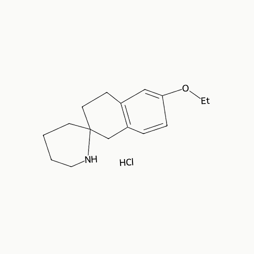 CCOc1ccc2c(c1)CCC1(CCCCN1)C2.Cl